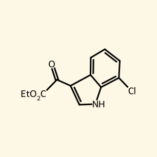 CCOC(=O)C(=O)c1c[nH]c2c(Cl)cccc12